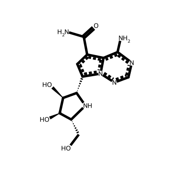 NC(=O)c1cc([C@@H]2N[C@H](CO)[C@@H](O)[C@H]2O)n2ncnc(N)c12